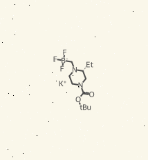 CC[C@@H]1CN(C(=O)OC(C)(C)C)CCN1C[B-](F)(F)F.[K+]